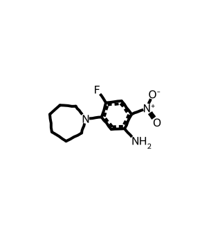 Nc1cc(N2CCCCCC2)c(F)cc1[N+](=O)[O-]